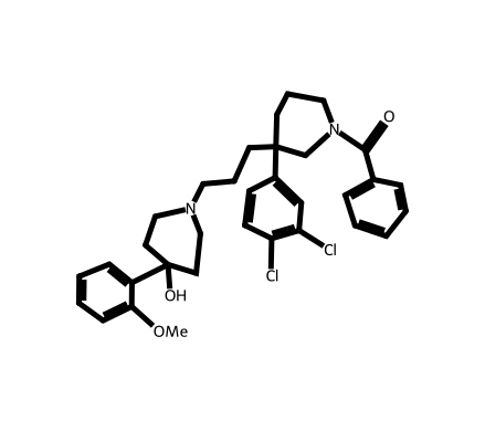 COc1ccccc1C1(O)CCN(CCCC2(c3ccc(Cl)c(Cl)c3)CCCN(C(=O)c3ccccc3)C2)CC1